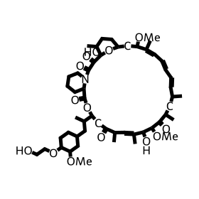 COC1CC2CCC(C)C(O)(O2)C(=O)C(=O)N2CCCCC2C(=O)OC(C(C)CC2CCC(OCCO)C(OC)C2)CC(=O)C(C)/C=C(\C)C(O)C(OC)C(=O)C(C)CC(C)/C=C/C=C/C=C\1C